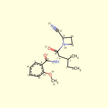 CCC(C)[C@H](NC(=O)c1ccccc1OC)C(=O)N1CCC1C#N